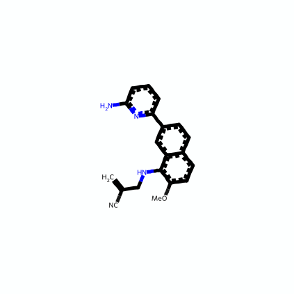 C=C(C#N)CNc1c(OC)ccc2ccc(-c3cccc(N)n3)cc12